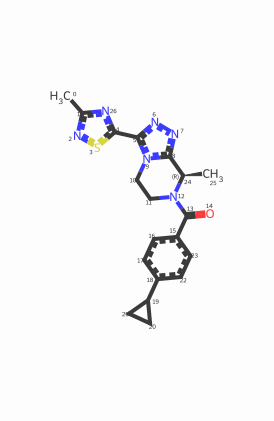 Cc1nsc(-c2nnc3n2CCN(C(=O)c2ccc(C4CC4)cc2)[C@@H]3C)n1